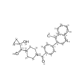 O=C(c1ccc(-c2cnc3ccccc3c2Cl)cc1)N1CCN(C(=O)C2(O)CC2)CC1